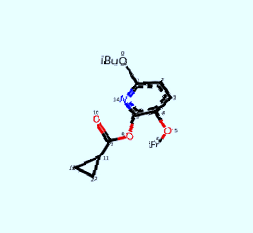 CC(C)COc1ccc(OC(C)C)c(OC(=O)C2CC2)n1